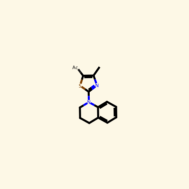 CC(=O)c1sc(N2CCCc3ccccc32)nc1C